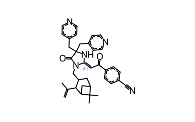 C=C(C)C1C(CN2C(=O)C(Cc3ccncc3)(Cc3ccncc3)N/C2=C\C(=O)c2ccc(C#N)cc2)CC2CC1C2(C)C